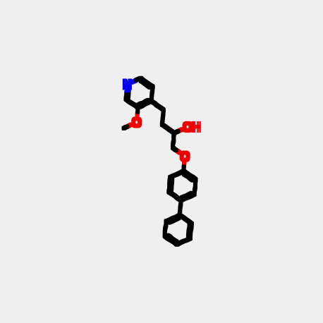 COc1cnccc1CCC(O)COc1ccc(-c2ccccc2)cc1